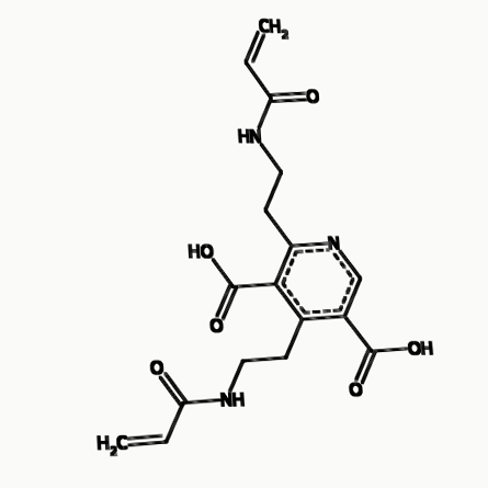 C=CC(=O)NCCc1ncc(C(=O)O)c(CCNC(=O)C=C)c1C(=O)O